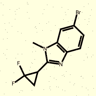 Cn1c(C2CC2(F)F)nc2ccc(Br)cc21